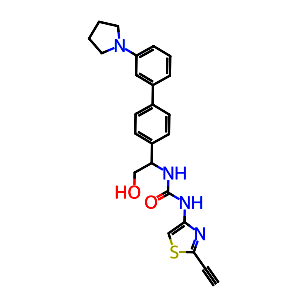 C#Cc1nc(NC(=O)NC(CO)c2ccc(-c3cccc(N4CCCC4)c3)cc2)cs1